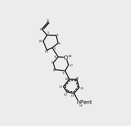 C=CC1CCC(C2CCC(c3ccc(CCCCC)cc3)CO2)CC1